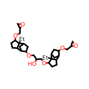 CCC12C3CC(OCC4CO4)C(C3)C1CCC2OCC(O)COC1CC2CC1C1CCC(OCC3CO3)C21CC